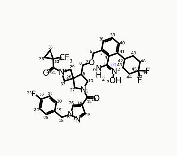 N/C(=N\O)c1c(COCC2CN(C(=O)c3cnn(Cc4ccc(F)cc4)c3)CC23CN(C(=O)C2(C(F)(F)F)CC2)C3)cccc1C1CCC(F)(F)CC1